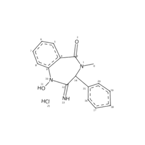 CN1C(=O)c2ccccc2N(O)C(=N)C1c1ccccc1.Cl